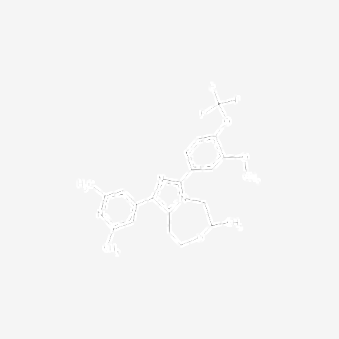 COc1cc(-c2nc(-c3cc(C)nc(C)c3)c3n2CC(C)OCC3)ccc1OC(F)(F)F